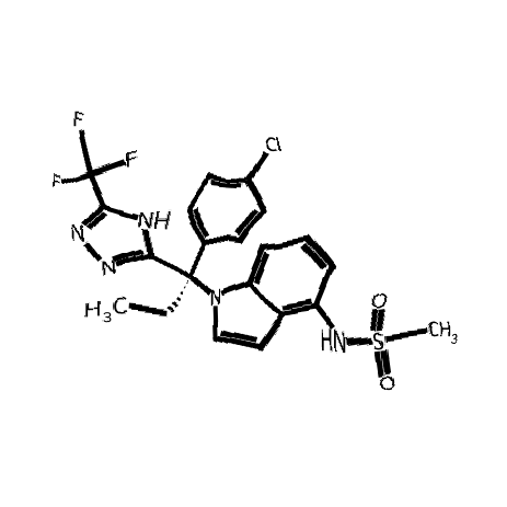 CC[C@@](c1ccc(Cl)cc1)(c1nnc(C(F)(F)F)[nH]1)n1ccc2c(NS(C)(=O)=O)cccc21